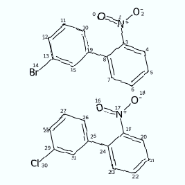 O=[N+]([O-])c1ccccc1-c1cccc(Br)c1.O=[N+]([O-])c1ccccc1-c1cccc(Cl)c1